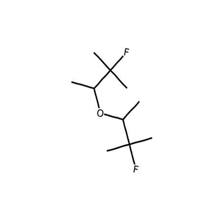 CC(OC(C)C(C)(C)F)C(C)(C)F